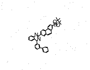 CC1(C)OB(c2ccc3c(ccc4cc(-c5nc(-c6cccc(-c7ccccc7)c6)c6ccccc6n5)ccc43)c2)OC1(C)C